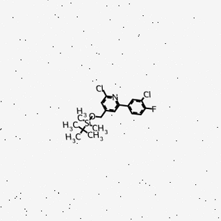 CC(C)(C)[Si](C)(C)OCc1cc(Cl)nc(-c2ccc(F)c(Cl)c2)c1